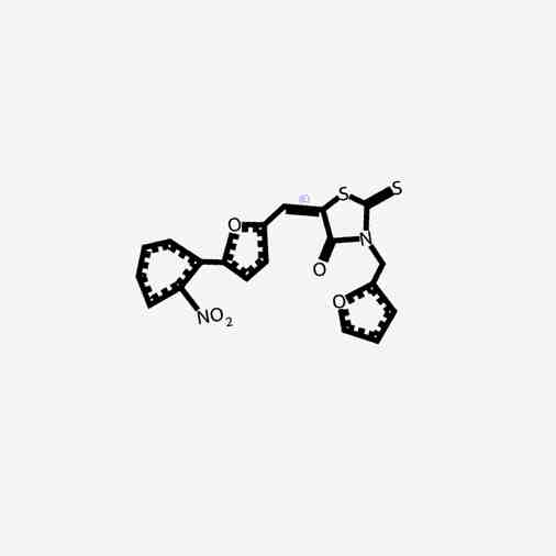 O=C1/C(=C\c2ccc(-c3ccccc3[N+](=O)[O-])o2)SC(=S)N1Cc1ccco1